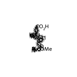 COc1ccc(-n2cnnn2)cc1C(=O)N1CCC(CCN2CCC(NC(=O)N3CCN(CC(=O)O)CC3)(c3ccccn3)CC2)(c2ccc(Cl)c(Cl)c2)C1